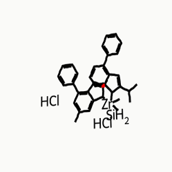 CC1=Cc2c(-c3ccccc3)cc(C)cc2[CH]1[Zr]([CH3])([CH3])(=[SiH2])[CH]1C(C(C)C)=Cc2c(-c3ccccc3)cccc21.Cl.Cl